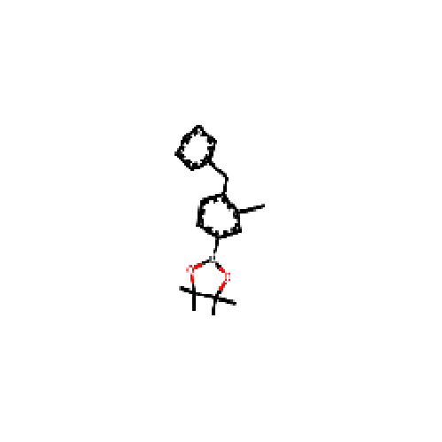 Cc1cc(B2OC(C)(C)C(C)(C)O2)ccc1Cc1ccccc1